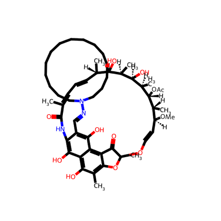 CO[C@H]1/C=C/O[C@@]2(C)Oc3c(C)c(O)c4c(O)c(c(/C=N/N5CCCCCCCCCCCCCCC5)c(O)c4c3C2=O)NC(=O)/C(C)=C\C=C\[C@H](C)[C@H](O)[C@@H](C)[C@@H](O)[C@@H](C)[C@H](OC(C)=O)[C@@H]1C